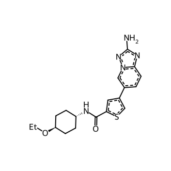 CCO[C@H]1CC[C@H](NC(=O)c2cc(-c3ccc4nc(N)nn4c3)cs2)CC1